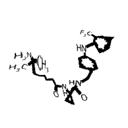 CC(C)(N)CCCCC(=O)NC1(C(=O)NCc2ccc(Nc3ccccc3C(F)(F)F)cc2)CC1